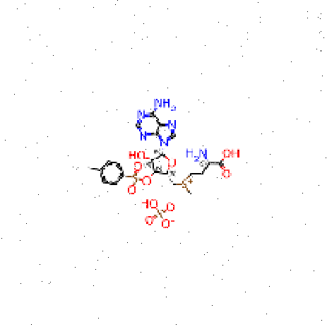 Cc1ccc(S(=O)(=O)O[C@H]2[C@@H](O)[C@H](n3cnc4c(N)ncnc43)O[C@@H]2C[S+](C)CC[C@H](N)C(=O)O)cc1.O=S(=O)([O-])O